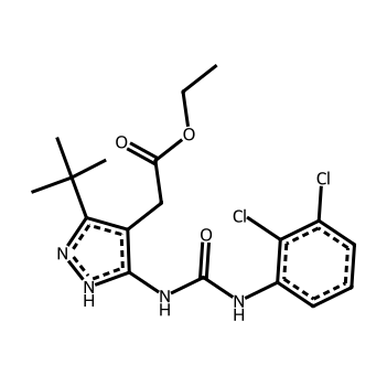 CCOC(=O)Cc1c(C(C)(C)C)n[nH]c1NC(=O)Nc1cccc(Cl)c1Cl